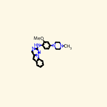 COc1cc(N2CCN(C)CC2)ccc1Nc1ncc2cc3ccccc3n2n1